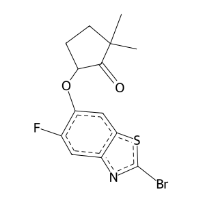 CC1(C)CCC(Oc2cc3sc(Br)nc3cc2F)C1=O